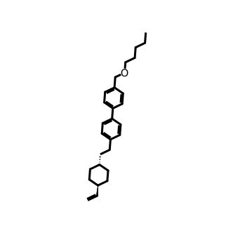 C=C[C@H]1CC[C@H](CCc2ccc(-c3ccc(COCCCCC)cc3)cc2)CC1